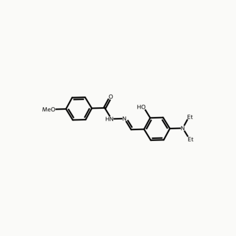 CCN(CC)c1ccc(/C=N/NC(=O)c2ccc(OC)cc2)c(O)c1